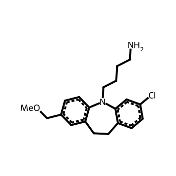 COCc1ccc2c(c1)CCc1ccc(Cl)cc1N2CCCCN